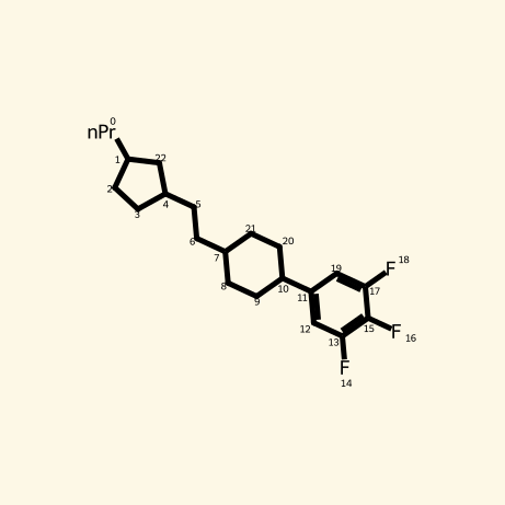 CCCC1CCC(CCC2CCC(c3cc(F)c(F)c(F)c3)CC2)C1